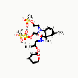 CC(CNC(=O)C1([N+](=O)[O-])C=C([N+](=O)[O-])C=CC1N(CCOS(C)(=O)=O)CCOS(=O)(=O)S(C)(=O)=O)OC1CCCCO1